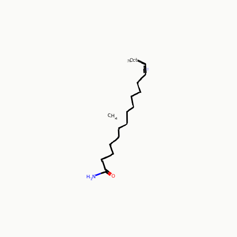 C.CCCCCCCC/C=C\CCCCCCCCCCCC(N)=O